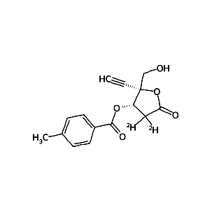 [2H]C1([2H])C(=O)O[C@](C#C)(CO)[C@H]1OC(=O)c1ccc(C)cc1